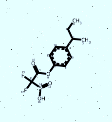 CCC(C)c1ccc(OC(=O)C(F)(F)S(=O)O)cc1